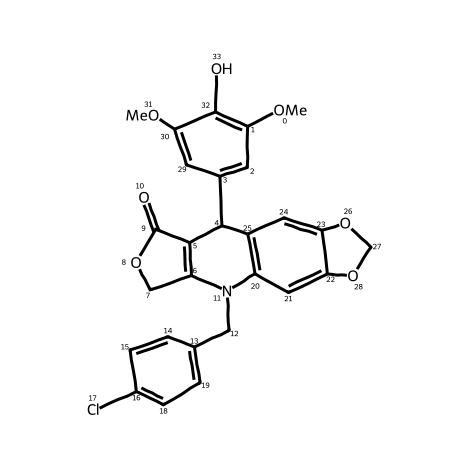 COc1cc(C2C3=C(COC3=O)N(Cc3ccc(Cl)cc3)c3cc4c(cc32)OCO4)cc(OC)c1O